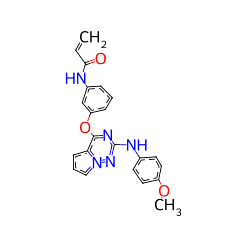 C=CC(=O)Nc1cccc(Oc2nc(Nc3ccc(OC)cc3)nn3cccc23)c1